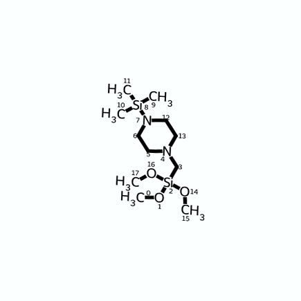 CO[Si](CN1CCN([Si](C)(C)C)CC1)(OC)OC